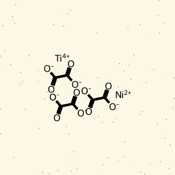 O=C([O-])C(=O)[O-].O=C([O-])C(=O)[O-].O=C([O-])C(=O)[O-].[Ni+2].[Ti+4]